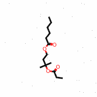 CCCCCC(=O)O[CH]CC(C)(C)OC(=O)CC